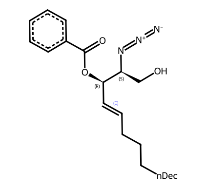 CCCCCCCCCCCCC/C=C/[C@@H](OC(=O)c1ccccc1)[C@H](CO)N=[N+]=[N-]